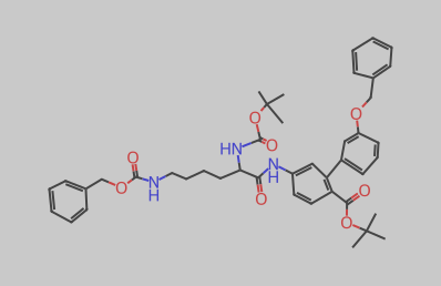 CC(C)(C)OC(=O)NC(CCCCNC(=O)OCc1ccccc1)C(=O)Nc1ccc(C(=O)OC(C)(C)C)c(-c2cccc(OCc3ccccc3)c2)c1